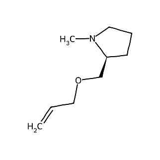 C=CCOC[C@@H]1CCCN1C